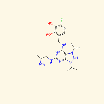 CC(N)CNc1nc(NCc2ccc(Cl)c(O)c2O)c2c(n1)N(C(C)C)NN2C(C)C